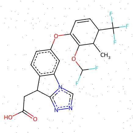 CC1C(OC(F)F)=C(Oc2ccc3c(c2)-n2cnnc2C3CC(=O)O)C=CC1C(F)(F)F